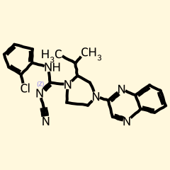 CC(C)C1CN(c2cnc3ccccc3n2)CCN1/C(=N\C#N)Nc1ccccc1Cl